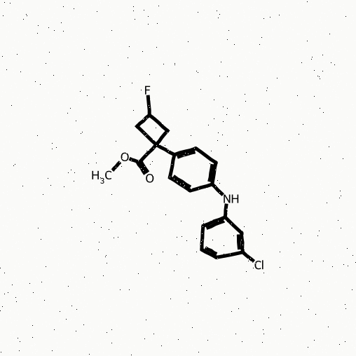 COC(=O)C1(c2ccc(Nc3cccc(Cl)c3)cc2)CC(F)C1